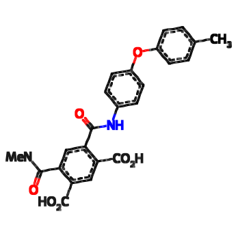 CNC(=O)c1cc(C(=O)Nc2ccc(Oc3ccc(C)cc3)cc2)c(C(=O)O)cc1C(=O)O